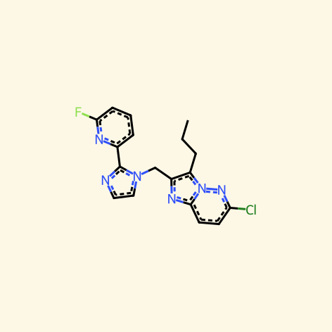 CCCc1c(Cn2ccnc2-c2cccc(F)n2)nc2ccc(Cl)nn12